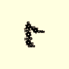 COc1ccc(CNc2nc(Cl)cc(C)c2CNC2CCC(C(=O)Nc3ccc(OC)c(Cl)c3)CC2)cc1